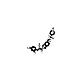 N[C@H](Cc1ccc(Cl)cc1Cl)C(=O)N1Cc2ccc(CNS(=O)(=O)C3CCNCC3)cc2C1